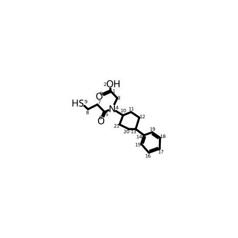 O=C(O)CN(C(=O)CCS)C1CCC(c2ccccc2)CC1